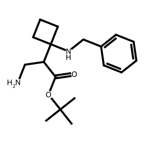 CC(C)(C)OC(=O)C(CN)C1(NCc2ccccc2)CCC1